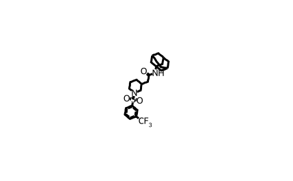 O=C(CC1CCCN(S(=O)(=O)c2cccc(C(F)(F)F)c2)C1)NC12CC3CC(CC(C3)C1)C2